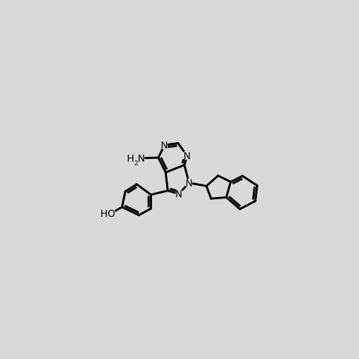 Nc1ncnc2c1c(-c1ccc(O)cc1)nn2C1Cc2ccccc2C1